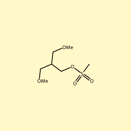 COCC(COC)COS(C)(=O)=O